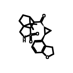 CC1(C)C2CCC13CNS(=O)(=O)C3C2C(=O)[C@@H]1C[C@H]1c1cccc2c1CCO2